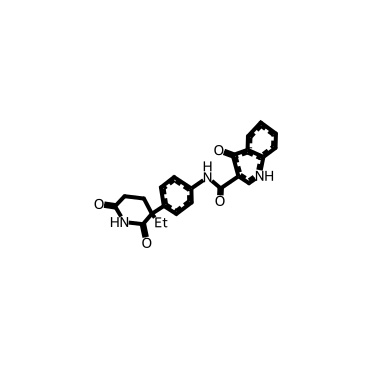 CCC1(c2ccc(NC(=O)c3c[nH]c4ccccc4c3=O)cc2)CCC(=O)NC1=O